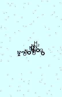 CN(C(=O)/C=C/CN(C)C1CC1)c1cccc(-n2c(=O)n(-c3ccc(Oc4ccccc4)cc3)c3c(N)ncnc32)c1